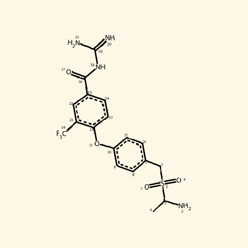 CC(N)S(=O)(=O)Cc1ccc(Oc2ccc(C(=O)NC(=N)N)cc2C(F)(F)F)cc1